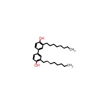 CCCCCCCCc1cc(-c2ccc(O)c(CCCCCCCC)c2)ccc1O